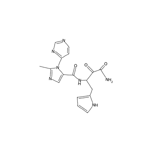 Cc1ncc(C(=O)NC(Cc2ccc[nH]2)C(=O)C(N)=O)n1-c1ccncn1